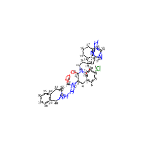 O=C(NC(Cc1ccc(Cl)cc1)C(=O)N1CCC(Cc2nc[nH]n2)(C2CCCCC2)CC1)[C@H]1Cc2ccccc2CN1